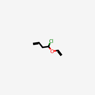 C=CCC(Cl)OC=C